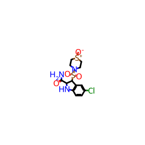 NC(=O)C1Nc2ccc(Cl)cc2C1S(=O)(=O)N1CC[S+]([O-])CC1